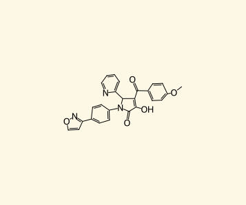 COc1ccc(C(=O)C2=C(O)C(=O)N(c3ccc(-c4ccon4)cc3)C2c2ccccn2)cc1